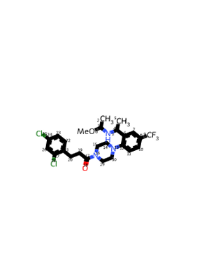 COC(C)NC(C)c1cc(C(F)(F)F)ccc1N1CCN(C(=O)CCc2ccc(Cl)cc2Cl)CC1